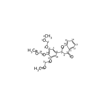 COCOc1cc(C2CC(=O)c3ccccc3O2)cc(OCOC)c1OCOC